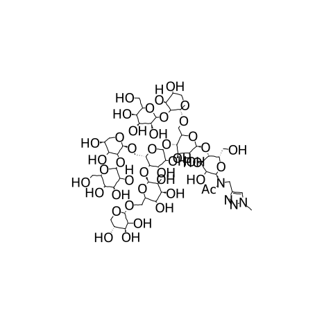 CC(=O)N(Cc1cn(C)nn1)[C@@H]1O[C@@H](CO)[C@@H](O[C@@H]2OC(CO[C@H]3OC[C@@H](O)[C@H](O)C3OC3OC(CO)[C@H](O)[C@H](O)[C@@H]3O)[C@@H](O[C@@H]3O[C@@H](CO[C@@H]4OC[C@H](O)C(O)C4O[C@@H]4OC(CO)[C@H](O)[C@H](O)C4O)[C@@H](O[C@@H]4OC(CO[C@H]5OC[C@@H](O)[C@H](O)C5O)[C@@H](O)[C@H](O)C4O)C(O)C3O)[C@H](O)C2O)C(O)C1O